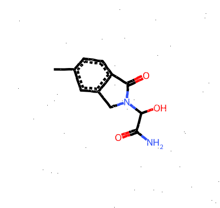 Cc1ccc2c(c1)CN(C(O)C(N)=O)C2=O